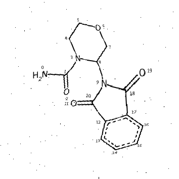 NC(=O)N1CCOCC1N1C(=O)c2ccccc2C1=O